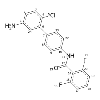 Nc1ccc(Cl)c(-c2ccc(NC(=O)c3c(F)cccc3F)cc2)c1